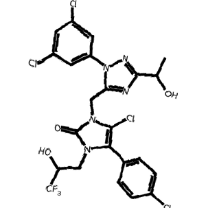 CC(O)c1nc(Cn2c(Cl)c(-c3ccc(Cl)cc3)n(CC(O)C(F)(F)F)c2=O)n(-c2cc(Cl)cc(Cl)c2)n1